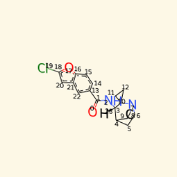 O=C(N[C@H]1C2CCN(CC2)C12CC2)c1ccc2oc(Cl)cc2c1